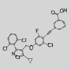 O=C(O)c1cccc(C#Cc2c(F)cc(OCc3c(-c4c(Cl)cccc4Cl)noc3C3CC3)cc2Cl)c1